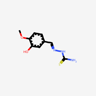 COc1ccc(C=NNC(N)=S)cc1O